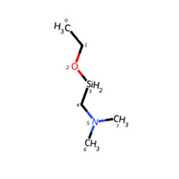 CCO[SiH2]CN(C)C